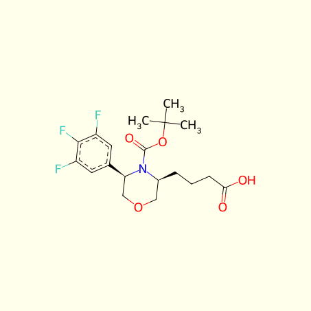 CC(C)(C)OC(=O)N1[C@@H](CCCC(=O)O)COC[C@H]1c1cc(F)c(F)c(F)c1